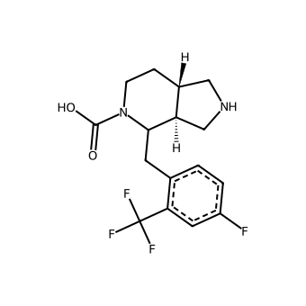 O=C(O)N1CC[C@@H]2CNC[C@H]2C1Cc1ccc(F)cc1C(F)(F)F